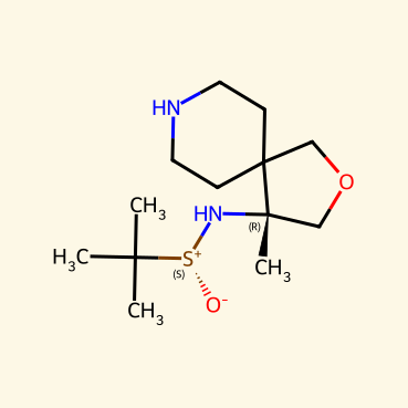 CC(C)(C)[S@@+]([O-])N[C@@]1(C)COCC12CCNCC2